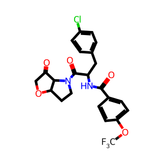 O=C(NC(Cc1ccc(Cl)cc1)C(=O)N1CCC2OCC(=O)C21)c1ccc(OC(F)(F)F)cc1